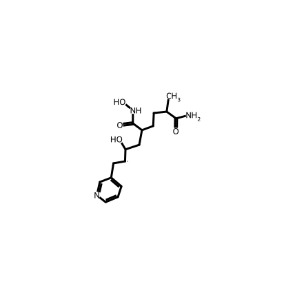 CC(CCC(CC(O)[CH]Cc1cccnc1)C(=O)NO)C(N)=O